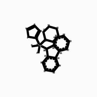 [CH3][Zr]([CH3])([C]1=CC=CC1)([CH]1CCCCC1)[CH]1c2ccccc2-c2ccccc21